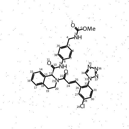 COC(=O)NCc1ccc(NC(=O)[C@@H]2c3ccccc3CCN2C(=O)/C=C/c2cc(Cl)ccc2-n2cnnn2)cc1